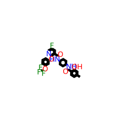 Cc1ccc(C(=O)NC2CCC(NC(=O)c3cc(F)cnc3Oc3cccc(OC(F)(F)F)c3)CC2)c(O)c1